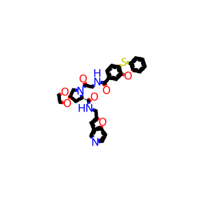 O=C(NCC(=O)N1CC2(C[C@H]1C(=O)NCc1cc3cnccc3o1)OCCO2)c1ccc2c(c1)Oc1ccccc1S2